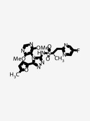 COc1ncnc(OC)c1-n1c(NS(=O)(=O)[C@@H](C)Cc2ncc(F)cn2)nnc1-c1ccc(C)o1